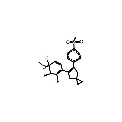 COC1(F)C=CC(C2=C(c3ccc(S(C)(=O)=O)cc3)CC3(CC3)C2)=C(F)C1F